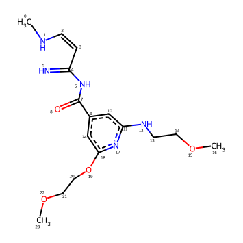 CN/C=C\C(=N)NC(=O)c1cc(NCCOC)nc(OCCOC)c1